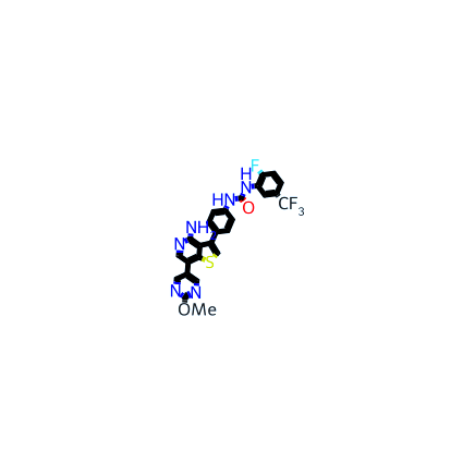 COc1ncc(-c2cnc(N)c3c(-c4ccc(NC(=O)Nc5cc(C(F)(F)F)ccc5F)cc4)csc23)cn1